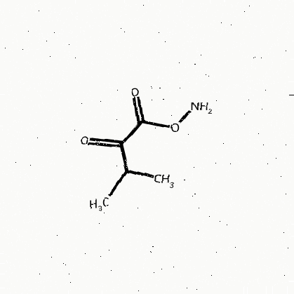 CC(C)C(=O)C(=O)ON